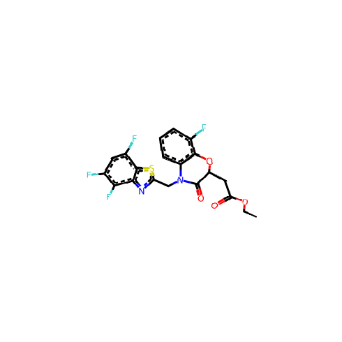 CCOC(=O)CC1Oc2c(F)cccc2N(Cc2nc3c(F)c(F)cc(F)c3s2)C1=O